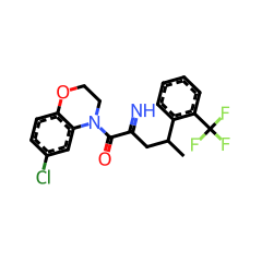 CC(CC(=N)C(=O)N1CCOc2ccc(Cl)cc21)c1ccccc1C(F)(F)F